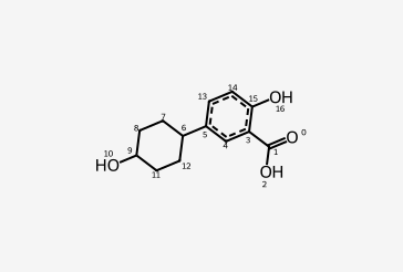 O=C(O)c1cc(C2CCC(O)CC2)ccc1O